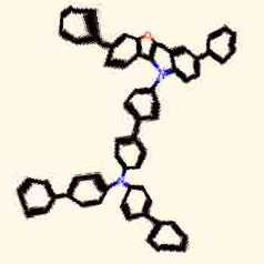 c1ccc(-c2ccc(N(c3ccc(-c4ccccc4)cc3)c3ccc(-c4ccc(-n5c6ccc(-c7ccccc7)cc6c6oc7cc(-c8ccccc8)ccc7c65)cc4)cc3)cc2)cc1